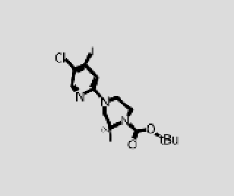 C[C@H]1CN(c2cc(I)c(Cl)cn2)CCN1C(=O)OC(C)(C)C